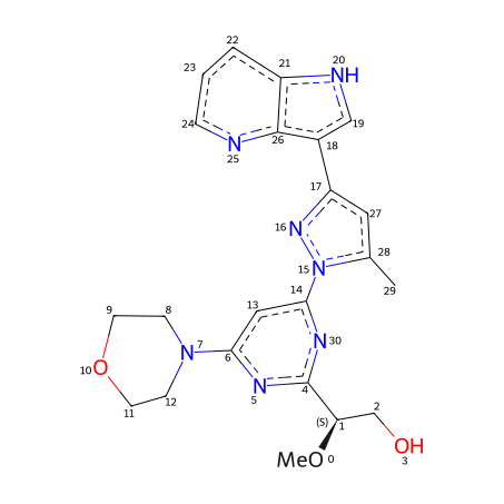 CO[C@H](CO)c1nc(N2CCOCC2)cc(-n2nc(-c3c[nH]c4cccnc34)cc2C)n1